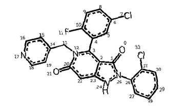 O=c1c2c(-c3cc(Cl)ccc3F)n(Cc3ccncc3)c(=O)cc2[nH]n1-c1ccccc1Cl